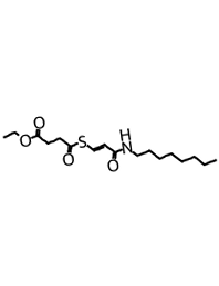 CCCCCCCCNC(=O)C=CSC(=O)CCC(=O)OCC